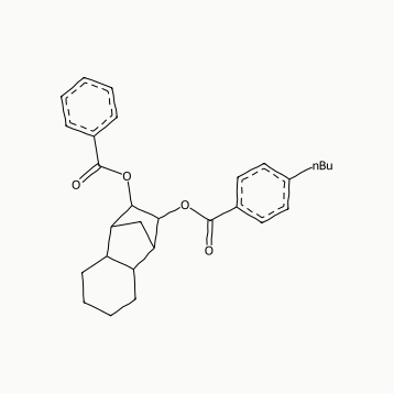 CCCCc1ccc(C(=O)OC2C3CC(C4CCCCC43)C2OC(=O)c2ccccc2)cc1